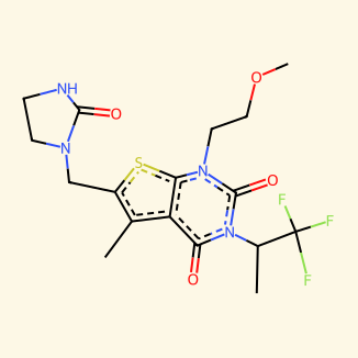 COCCn1c(=O)n(C(C)C(F)(F)F)c(=O)c2c(C)c(CN3CCNC3=O)sc21